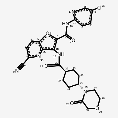 N#Cc1ccc2oc(C(=O)Nc3ccc(Cl)cn3)c(NC(=O)[C@H]3CC[C@H](N4CCOCC4=O)CC3)c2n1